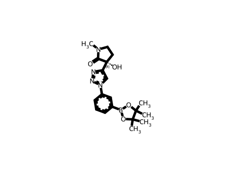 CN1CC[C@@](O)(c2cn(-c3cccc(B4OC(C)(C)C(C)(C)O4)c3)nn2)C1=O